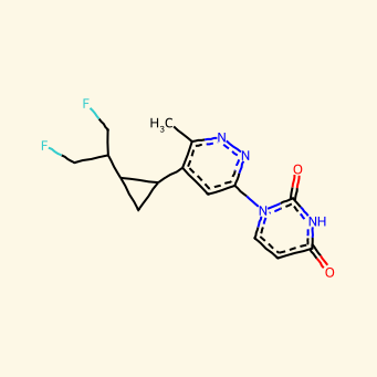 Cc1nnc(-n2ccc(=O)[nH]c2=O)cc1C1CC1C(CF)CF